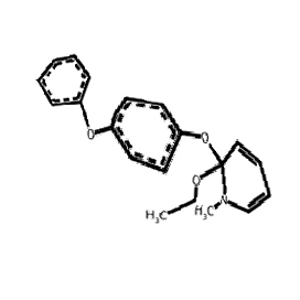 CCOC1(Oc2ccc(Oc3ccccc3)cc2)C=CC=CN1C